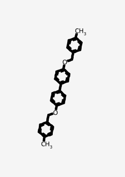 Cc1ccc(COc2ccc(-c3ccc(OCc4ccc(C)cc4)cc3)cc2)cc1